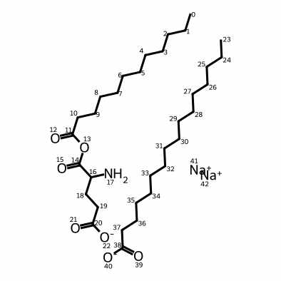 CCCCCCCCCCCC(=O)OC(=O)C(N)CCC(=O)[O-].CCCCCCCCCCCCCCCC(=O)[O-].[Na+].[Na+]